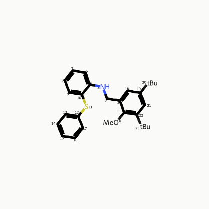 COc1c(CNc2ccccc2Sc2ccccc2)cc(C(C)(C)C)cc1C(C)(C)C